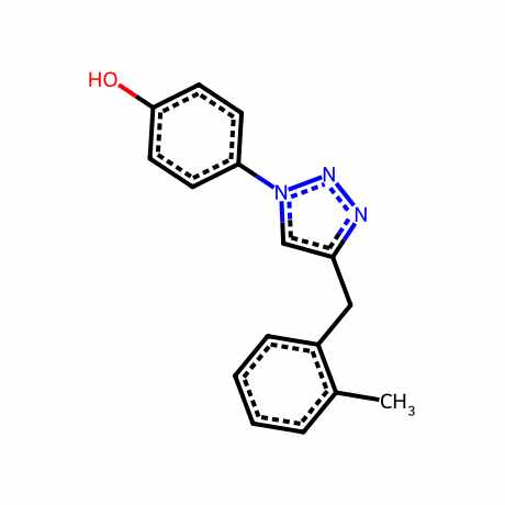 Cc1ccccc1Cc1cn(-c2ccc(O)cc2)nn1